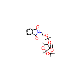 C[C@H]1O[C@@H]2OC(C)(C)O[C@H]2C1OC(C)(C)OCCN1C(=O)c2ccccc2C1=O